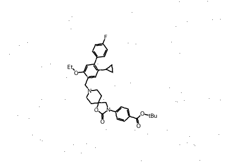 CCOc1cc(-c2ccc(F)cc2)c(C2CC2)cc1CN1CCC2(CC1)CN(c1ccc(C(=O)OC(C)(C)C)cc1)C(=O)O2